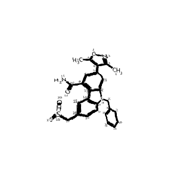 Cc1noc(C)c1-c1cc(C(N)=O)c2c3cc(C[SH](=O)=O)ccc3n(Cc3ccccc3)c2c1